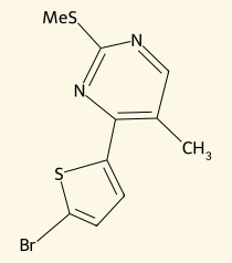 CSc1ncc(C)c(-c2ccc(Br)s2)n1